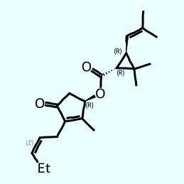 CC/C=C\CC1=C(C)[C@H](OC(=O)[C@@H]2[C@@H](C=C(C)C)C2(C)C)CC1=O